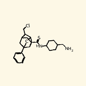 NCC1CCC(NC(=S)C23CC4CC(c5ccccc5)(CC2C4CCl)C3)CC1